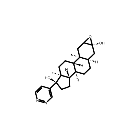 C[C@]12CC3O[C@@]3(O)C[C@H]1CC[C@@H]1[C@@H]2CC[C@@]2(C)[C@H]1CC[C@]2(O)c1ccnnc1